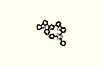 c1ccc(-c2nc(-c3ccccc3)nc(-c3cccc4c3oc3c(-c5cccc(-c6cccc7c8ccccc8n(-c8ccccc8)c67)c5)cccc34)n2)cc1